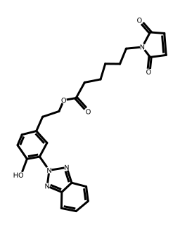 O=C(CCCCCN1C(=O)C=CC1=O)OCCc1ccc(O)c(-n2nc3ccccc3n2)c1